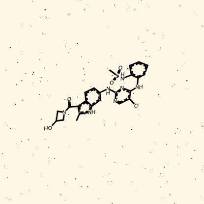 Cc1[nH]c2cc(Nc3ncc(Cl)c(Nc4ccccc4NS(C)(=O)=O)n3)ccc2c1C(=O)N1CC(O)C1